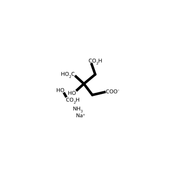 N.O=C(O)O.O=C([O-])CC(O)(CC(=O)O)C(=O)O.[Na+]